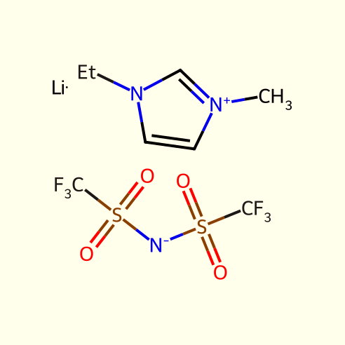 CCn1cc[n+](C)c1.O=S(=O)([N-]S(=O)(=O)C(F)(F)F)C(F)(F)F.[Li]